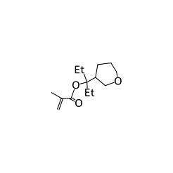 C=C(C)C(=O)OC(CC)(CC)C1CCCOC1